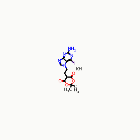 CC1(C)OC(=O)C(CCn2cnc3nc(N)nc(I)c32)C(=O)O1.[KH]